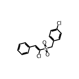 O=S(=O)(Cc1ccc(Cl)cc1)C(Cl)=Cc1ccccc1